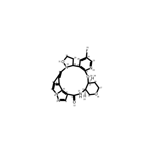 C=C1C=C2C=Cn3ncc(c31)C(=O)N[C@@H]1COCC[C@@H]1Oc1ncc(F)cc1C1CCON21